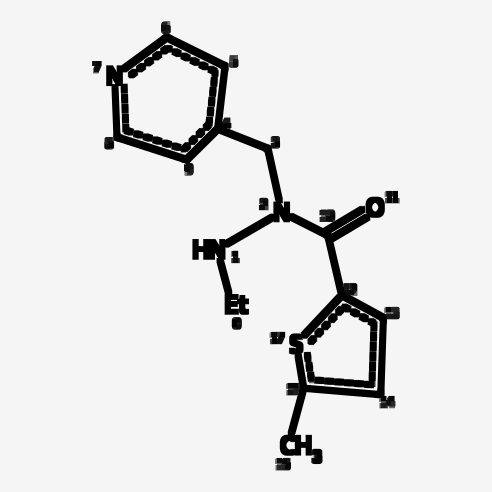 CCNN(Cc1ccncc1)C(=O)c1ccc(C)s1